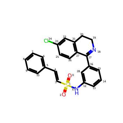 O=S(=O)(C=Cc1ccccc1)Nc1cccc(C2=NCCc3cc(Cl)ccc32)c1